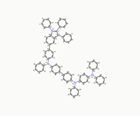 c1ccc(-c2c(-c3ccccc3)n(-c3ccccc3)c3ccc(-c4ccc(N(c5ccccc5)c5ccc(-c6ccc(N(c7ccccc7)c7ccc(N(c8ccccc8)c8ccccc8)cc7)cc6)cc5)cc4)cc23)cc1